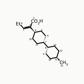 CCC=C(C(=O)O)[C@H]1CC[C@H]([C@H]2CC[C@H](C)CC2)CC1